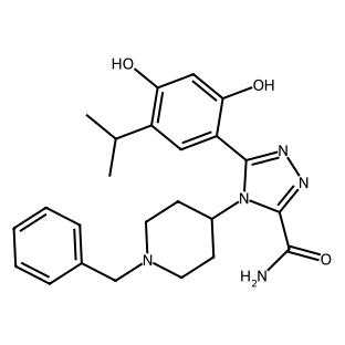 CC(C)c1cc(-c2nnc(C(N)=O)n2C2CCN(Cc3ccccc3)CC2)c(O)cc1O